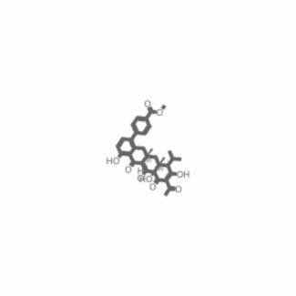 COC(=O)c1ccc(-c2ccc(O)c3c2C[C@]2(C)C[C@]4(C)C(C(C)C)C(O)=C(C(C)=O)C(=O)[C@]4(O)C(O)=C2C3=O)cc1